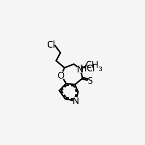 CN1CC(CCCl)Oc2ccncc2C1=S.Cl